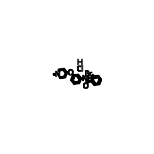 CN1CCC(Oc2cccc(NC(=O)c3ccccc3Br)c2)CC1.Cl